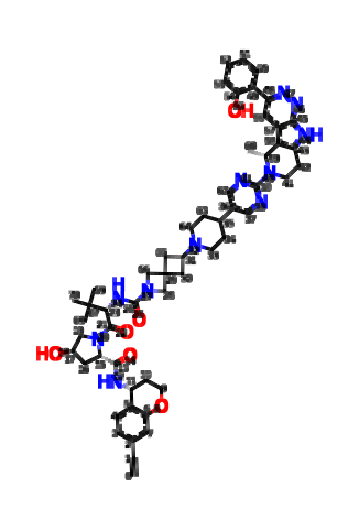 C#Cc1ccc2c(c1)OCC[C@H]2NC(=O)[C@@H]1C[C@@H](O)CN1C(=O)[C@@H](NC(=O)N1CC2(CC(N3CCC(c4cnc(N5CCc6[nH]c7nnc(-c8ccccc8O)cc7c6[C@H]5C)nc4)CC3)C2)C1)C(C)(C)C